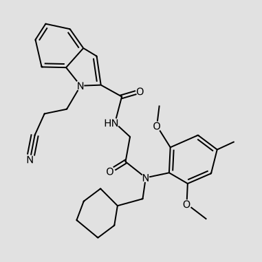 COc1cc(C)cc(OC)c1N(CC1CCCCC1)C(=O)CNC(=O)c1cc2ccccc2n1CCC#N